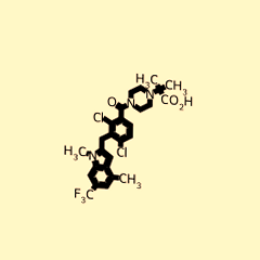 Cc1cc(C(F)(F)F)cc2c1cc(Cc1c(Cl)ccc(C(=O)N3CCN(C(C)(C)C(=O)O)CC3)c1Cl)n2C